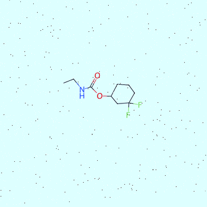 CCNC(=O)OC1CCCC(F)(F)C1